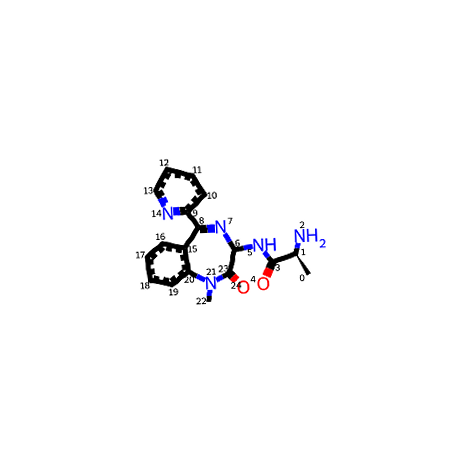 C[C@H](N)C(=O)NC1N=C(c2ccccn2)c2ccccc2N(C)C1=O